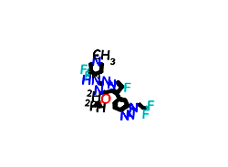 [2H]C([2H])([2H])Oc1nc(N[C@@H]2CCN(C)CC2(F)F)nn2cc(F)c(-c3ccc4nnn(CC(F)F)c4c3)c12